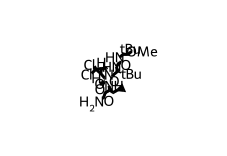 COC[C@@H](NC(=O)N[C@H](C(=O)N1C[C@H]2[C@@H]([C@H]1C(=O)NC(CC1CC1)C(=O)C(N)=O)C2(Cl)Cl)C(C)(C)C)C(C)(C)C